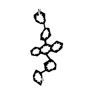 c1ccc(-c2cccc(-c3c4ccccc4c(-c4ccc(-c5ccncc5)cc4)c4ccccc34)c2)nc1